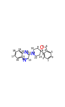 c1ccc2c(c1)COC21CCN(c2cnc3ccccc3n2)CC1